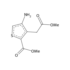 COC(=O)Cc1c(N)csc1C(=O)OC